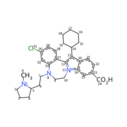 CN1CCCC1CCN1CCn2c(c(C3CCCCC3)c3ccc(C(=O)O)cc32)-c2ccc(Cl)cc21